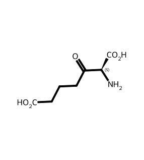 N[C@H](C(=O)O)C(=O)CCCC(=O)O